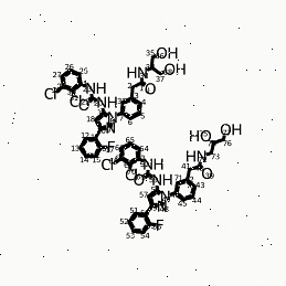 O=C(Cc1cccc(-n2nc(-c3ccccc3F)cc2NC(=O)Nc2cccc(Cl)c2Cl)c1)NC(CO)CO.O=C(Cc1cccc(-n2nc(-c3ccccc3F)cc2NC(=O)Nc2cccc(Cl)c2Cl)c1)NCC(O)CO